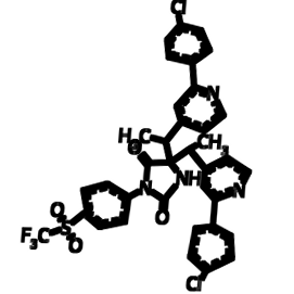 CC(c1ccnc(-c2ccc(Cl)cc2)c1)C1(C(C)c2ccnc(-c3ccc(Cl)cc3)c2)NC(=O)N(c2ccc(S(=O)(=O)C(F)(F)F)cc2)C1=O